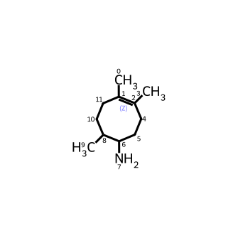 C/C1=C(\C)CCC(N)C(C)CC1